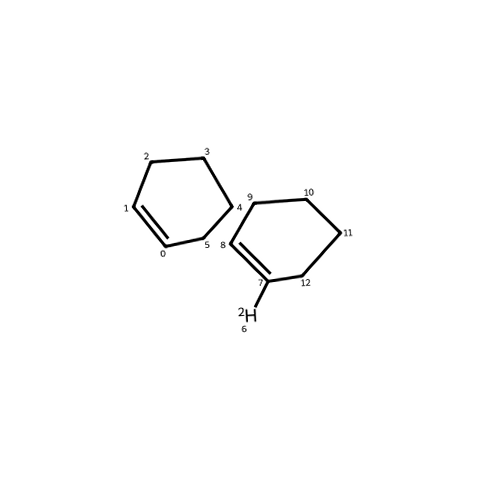 C1=CCCCC1.[2H]C1=CCCCC1